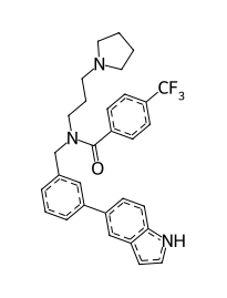 O=C(c1ccc(C(F)(F)F)cc1)N(CCCN1CCCC1)Cc1cccc(-c2ccc3[nH]ccc3c2)c1